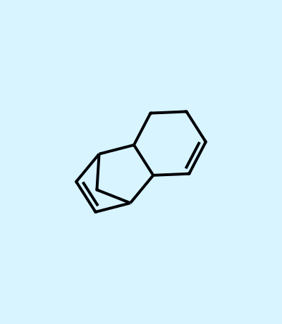 C1=CC2C3C=CC(C3)C2CC1